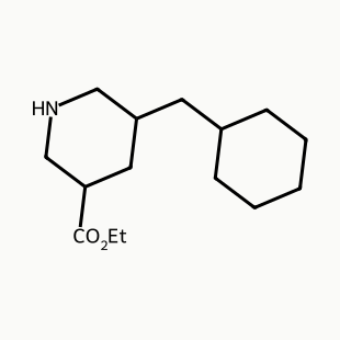 CCOC(=O)C1CNCC(CC2CCCCC2)C1